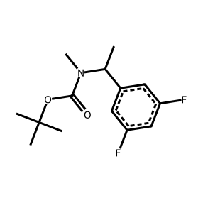 CC(c1cc(F)cc(F)c1)N(C)C(=O)OC(C)(C)C